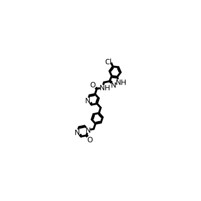 O=C(NCc1n[nH]c2ccc(Cl)cc12)c1cncc(Cc2ccc(Cn3ccncc3=O)cc2)c1